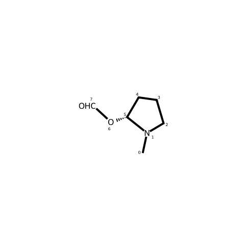 CN1CCC[C@H]1OC=O